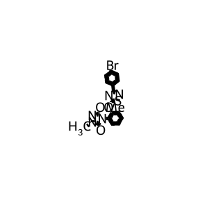 COc1nn(C)c(=O)n1-c1ccccc1Oc1nc(-c2ccc(Br)cc2)ns1